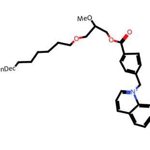 CCCCCCCCCCCCCCCCOCC(COC(=O)c1ccc(C[n+]2cccc3ccccc32)cc1)OC